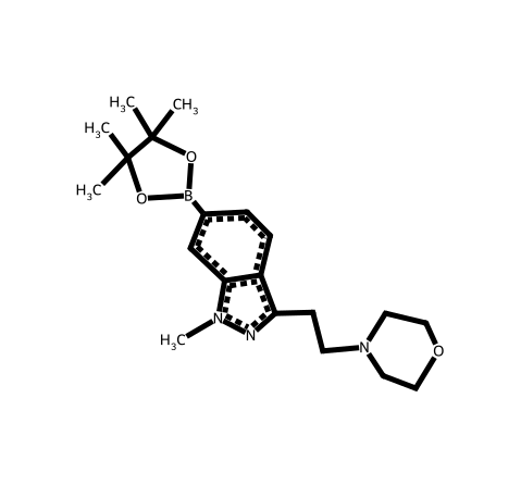 Cn1nc(CCN2CCOCC2)c2ccc(B3OC(C)(C)C(C)(C)O3)cc21